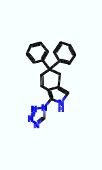 C1=CC(c2ccccc2)(c2ccccc2)Cc2c[nH]c(-n3cnnn3)c21